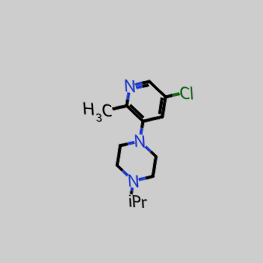 Cc1ncc(Cl)cc1N1CCN(C(C)C)CC1